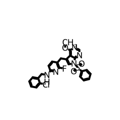 COc1ncnc2c1c(Cc1ccc(NCc3ccccc3Cl)nc1F)cn2S(=O)(=O)c1ccccc1